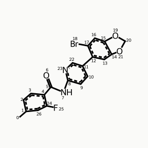 Cc1ccc(C(=O)Nc2ccc(-c3cc4c(cc3Br)OCO4)cn2)c(F)c1